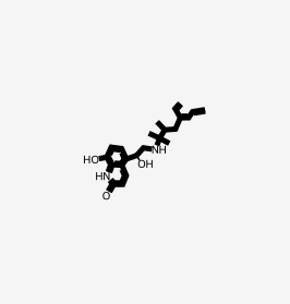 C=C/C=C(\C=C)CC(C)C(C)(C)NC[C@H](O)c1ccc(O)c2[nH]c(=O)ccc12